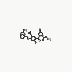 COC(=O)[C@@H]1CC(=O)CN1C(=O)c1cc(C2CC2)c(OCC23CC=C(CC(C)C2)C3)cc1F